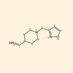 N=CC1CCN(Cc2ccon2)CC1